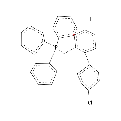 Clc1ccc(-c2ccccc2C[P+](c2ccccc2)(c2ccccc2)c2ccccc2)cc1.[I-]